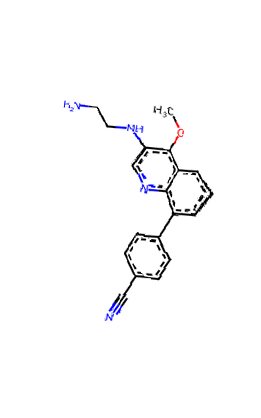 COc1c(NCCN)cnc2c(-c3ccc(C#N)cc3)cccc12